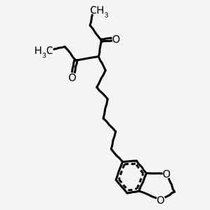 CCC(=O)C(CCCCCCc1ccc2c(c1)OCO2)C(=O)CC